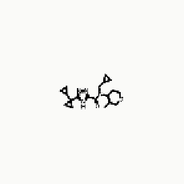 CC1=C(N(CC2CC2)C(=O)c2nnc(C3(C4CC4)CC3)[nH]2)CCOC1